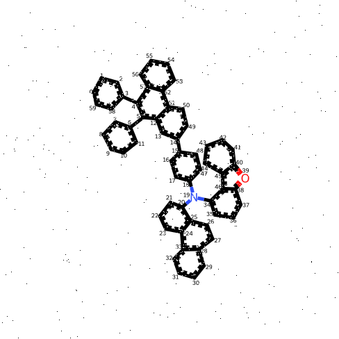 c1ccc(-c2c(-c3ccccc3)c3cc(-c4ccc(N(c5cccc6c5ccc5ccccc56)c5cccc6oc7ccccc7c56)cc4)ccc3c3ccccc23)cc1